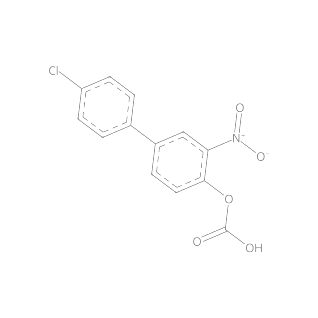 O=C(O)Oc1ccc(-c2ccc(Cl)cc2)cc1[N+](=O)[O-]